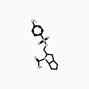 Cc1ccc(S(=O)(=O)OCC2CC3CCCC3N2C(=O)O)cc1